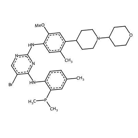 COc1cc(C2CCN(C3CCOCC3)CC2)c(C)cc1Nc1ncc(Br)c(Nc2ccc(C)cc2P(C)C)n1